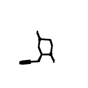 N#CC[C@H]1CN(I)CCN1I